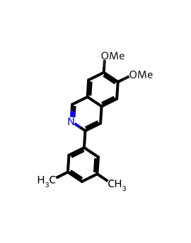 COc1cc2cnc(-c3cc(C)cc(C)c3)cc2cc1OC